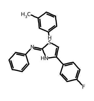 Cc1cccc([SH]2C=C(c3ccc(F)cc3)NC2=Nc2ccccc2)c1